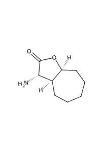 N[C@@H]1C(=O)O[C@H]2CCCCC[C@H]21